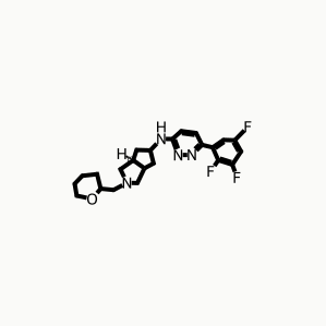 Fc1cc(F)c(F)c(-c2ccc(NC3CC4CN(CC5CCCCO5)C[C@H]4C3)nn2)c1